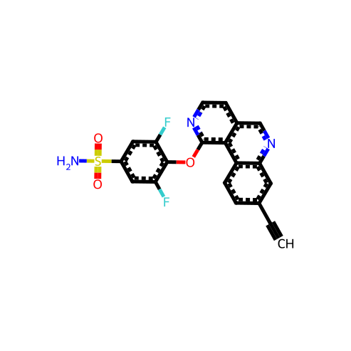 C#Cc1ccc2c(c1)ncc1ccnc(Oc3c(F)cc(S(N)(=O)=O)cc3F)c12